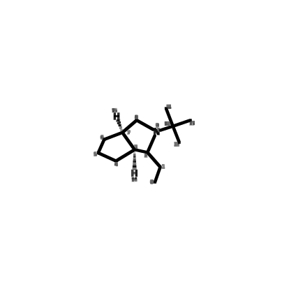 CCC1[C@H]2CCC[C@H]2CN1C(C)(C)C